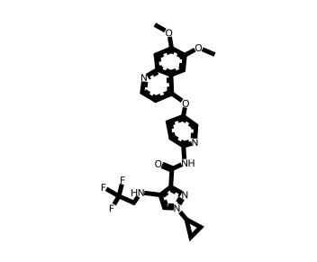 COc1cc2nccc(Oc3ccc(NC(=O)c4nn(C5CC5)cc4NCC(F)(F)F)nc3)c2cc1OC